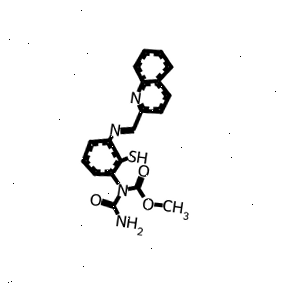 COC(=O)N(C(N)=O)c1cccc(N=Cc2ccc3ccccc3n2)c1S